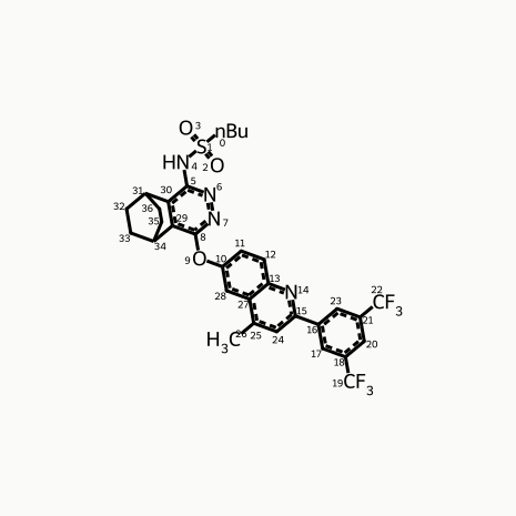 CCCCS(=O)(=O)Nc1nnc(Oc2ccc3nc(-c4cc(C(F)(F)F)cc(C(F)(F)F)c4)cc(C)c3c2)c2c1C1CCC2CC1